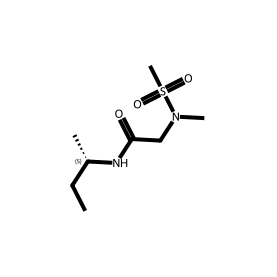 CC[C@H](C)NC(=O)CN(C)S(C)(=O)=O